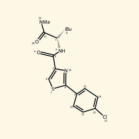 CC[C@@H](C)[C@H](NC(=O)c1csc(-c2ccc(Cl)cc2)n1)C(=O)NC